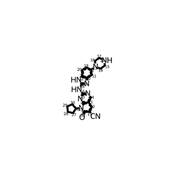 N#Cc1cc2cnc(Nc3nc4cc(N5CCNCC5)ccc4[nH]3)nc2n(C2CCCC2)c1=O